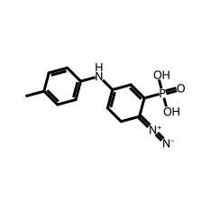 Cc1ccc(NC2=CCC(=[N+]=[N-])C(P(=O)(O)O)=C2)cc1